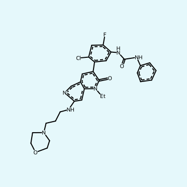 CCn1c(=O)c(-c2cc(NC(=O)Nc3ccccc3)c(F)cc2Cl)cc2cnc(NCCCN3CCOCC3)cc21